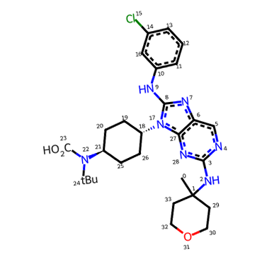 CC1(Nc2ncc3nc(Nc4cccc(Cl)c4)n([C@H]4CC[C@H](N(C(=O)O)C(C)(C)C)CC4)c3n2)CCOCC1